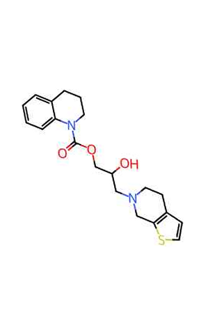 O=C(OCC(O)CN1CCc2ccsc2C1)N1CCCc2ccccc21